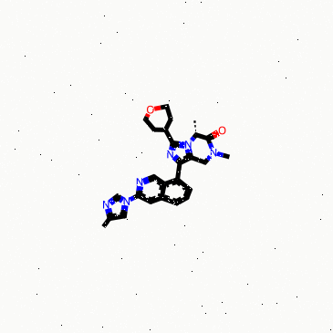 Cc1cn(-c2cc3cccc(-c4nc(C5CCOCC5)n5c4CN(C)C(=O)[C@H]5C)c3cn2)cn1